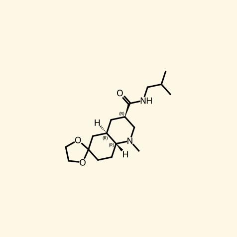 CC(C)CNC(=O)[C@@H]1C[C@@H]2CC3(CC[C@H]2N(C)C1)OCCO3